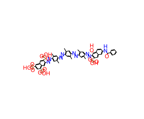 Cc1cc(N=Nc2cc(C)c(N=Nc3c(S(=O)(=O)O)cc4cc(NC(=O)c5ccccc5)ccc4c3O)cc2C)c(C)cc1N=Nc1cc(C)c(N=Nc2cc3c(S(=O)(=O)O)cc(S(=O)(=O)O)cc3cc2S(=O)(=O)O)cc1C